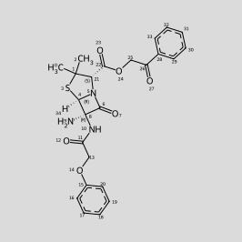 CC1(C)S[C@H]2N(C(=O)[C@@]2(N)NC(=O)COc2ccccc2)[C@H]1C(=O)OCC(=O)c1ccccc1